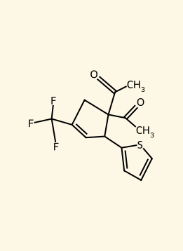 CC(=O)C1(C(C)=O)CC(C(F)(F)F)=CC1c1cccs1